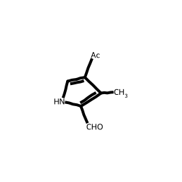 CC(=O)c1c[nH]c(C=O)c1C